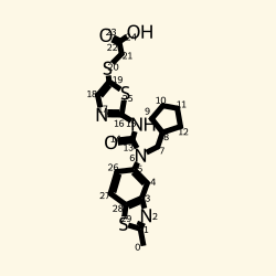 Cc1nc2cc(N(CC3CCCC3)C(=O)Nc3ncc(SCC(=O)O)s3)ccc2s1